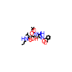 CCCCNC(=O)[C@@H](C[C@H](O)[C@H](C[C@H](CNC(=O)c1ccccc1C=O)C(C)C)NC(=O)OC(C)(C)C)C(C)C